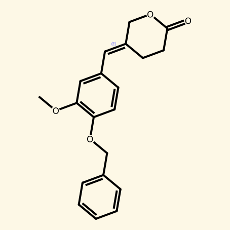 COc1cc(/C=C2\CCC(=O)OC2)ccc1OCc1ccccc1